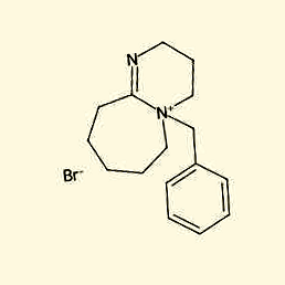 [Br-].c1ccc(C[N+]23CCCCCC2=NCCC3)cc1